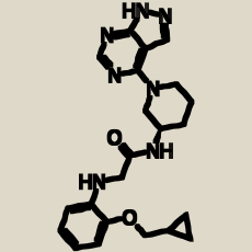 O=C(CNc1ccccc1OCC1CC1)N[C@@H]1CCCN(c2ncnc3[nH]ncc23)C1